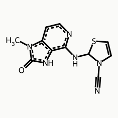 Cn1c(=O)[nH]c2c(NC3SC=CN3C#N)nccc21